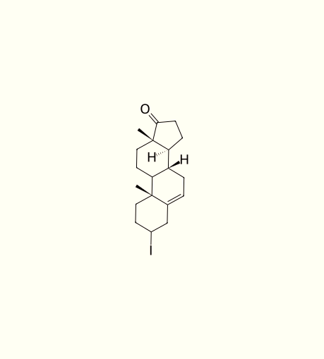 C[C@]12CCC(I)CC1=CC[C@@H]1C2CC[C@]2(C)C(=O)CC[C@@H]12